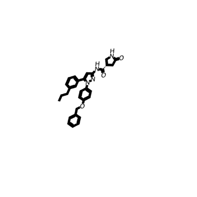 CCCc1cccc(-c2cc(NC(=O)[C@@H]3CNC(=O)C3)nn2-c2ccc(OCc3ccccc3)cc2)c1